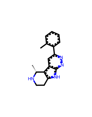 Cc1ccccc1-c1cc2c3c([nH]c2nn1)CCN[C@@H]3C